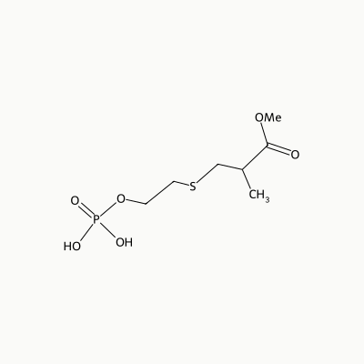 COC(=O)C(C)CSCCOP(=O)(O)O